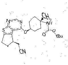 CC(C)(C)OC(=O)N[C@]1(C)CC[C@@H](Oc2ncnc3sc4c(c23)[C@@H](CC#N)CC4)CC1